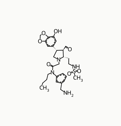 CCCCN(C(=O)CN1C[C@H](c2cc(O)c3c(c2)OCO3)[C@@H](C=O)[C@@H]1CCNS(C)(=O)=O)c1cccc(CN)c1